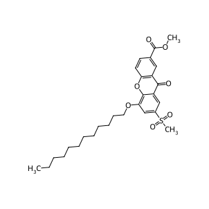 CCCCCCCCCCCCOc1cc(S(C)(=O)=O)cc2c(=O)c3cc(C(=O)OC)ccc3oc12